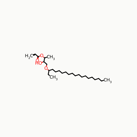 C=CC(=O)OC(C)C(O)COC(CC)CCCCCCCCCCCCCCCCC